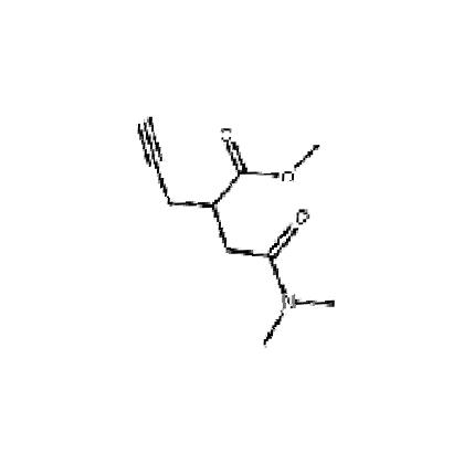 C#CCC(CC(=O)N(C)C)C(=O)OC